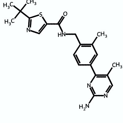 Cc1cc(-c2nc(N)ncc2C)ccc1CNC(=O)c1cnc(C(C)(C)C)s1